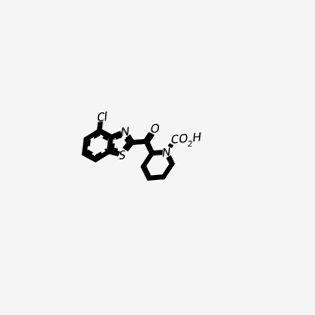 O=C(c1nc2c(Cl)cccc2s1)C1CCCCN1C(=O)O